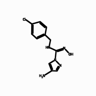 Nc1cnn(C(=NO)NCc2ccc(Cl)cc2)c1